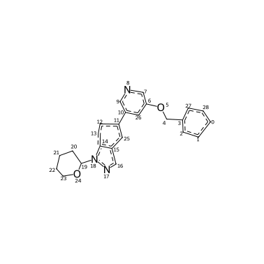 c1ccc(COc2cncc(-c3ccc4c(cnn4C4CCCCO4)c3)c2)cc1